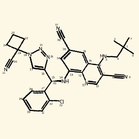 CC(C)(C)CNc1c(C#N)cnc2c(N[C@H](c3cn(C4(C#N)CCC4)nn3)c3ccccc3Cl)cc(C#N)cc12